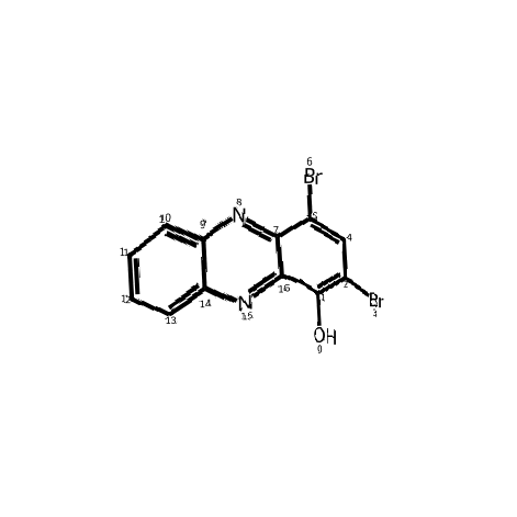 Oc1c(Br)cc(Br)c2nc3ccccc3nc12